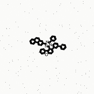 c1ccc(-c2cccc(-c3ccc4oc5ccccc5c4c3-c3nc(-c4ccccc4)nc(-c4ccc5c(ccc6ccccc65)c4)n3)c2)cc1